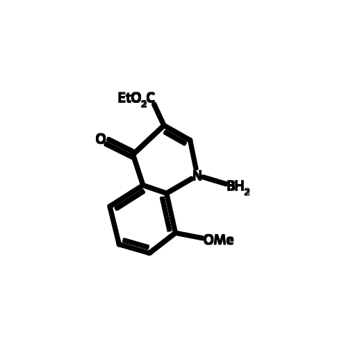 Bn1cc(C(=O)OCC)c(=O)c2cccc(OC)c21